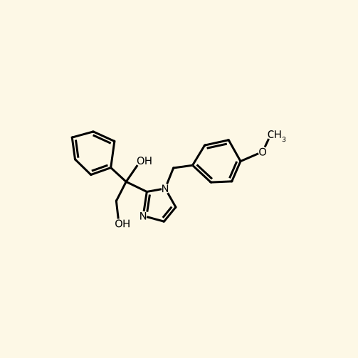 COc1ccc(Cn2ccnc2C(O)(CO)c2ccccc2)cc1